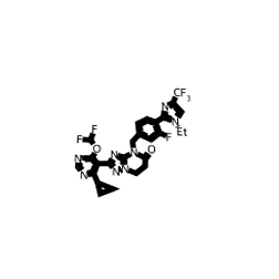 CCn1cc(C(F)(F)F)nc1-c1ccc(CN2C(=O)CCn3nc(-c4c(OC(F)F)ncnc4C4CC4)nc32)cc1F